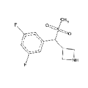 CS(=O)(=O)C(c1cc(F)cc(F)c1)C1CNC1